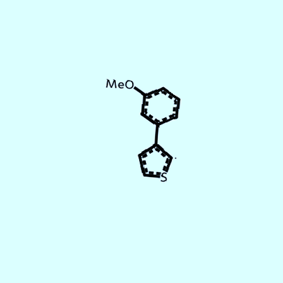 COc1cccc(-c2[c]scc2)c1